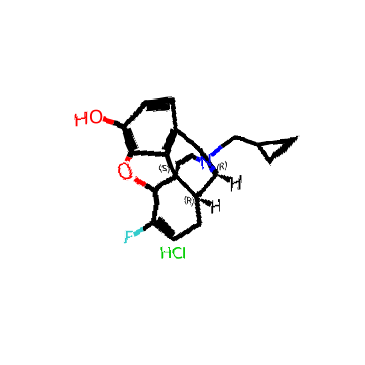 Cl.Oc1ccc2c3c1OC1C(F)=CC[C@H]4[C@@H](C2)N(CC2CC2)CC[C@]314